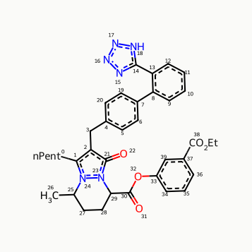 CCCCCc1c(Cc2ccc(-c3ccccc3-c3nnn[nH]3)cc2)c(=O)n2n1C(C)CCC2C(=O)Oc1cccc(C(=O)OCC)c1